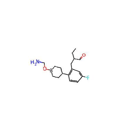 CCC(C=O)Cc1cc(F)ccc1C1CCB(OCN)CC1